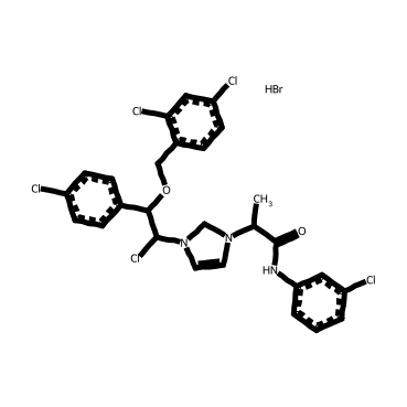 Br.CC(C(=O)Nc1cccc(Cl)c1)N1C=CN(C(Cl)C(OCc2ccc(Cl)cc2Cl)c2ccc(Cl)cc2)C1